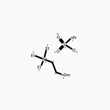 CCCCCCCCCCCC[N+](CC)(CC)CC.CCCS(=O)(=O)[O-]